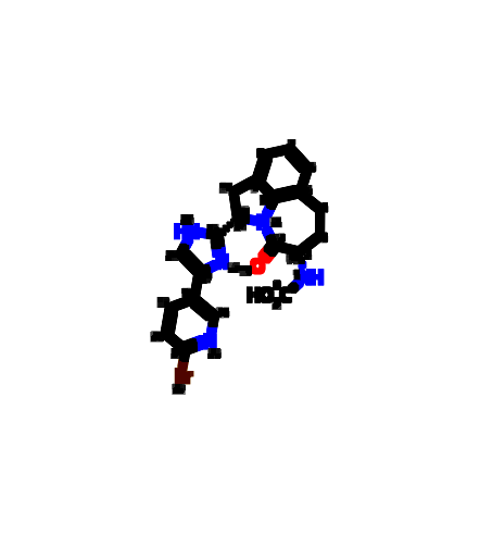 O=C(O)N[C@H]1CCc2cccc3c2N(C1=O)[C@H](c1nc(-c2ccc(Br)nc2)c[nH]1)C3